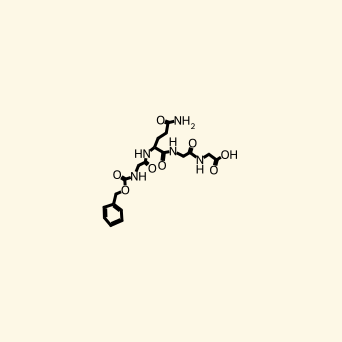 NC(=O)CCC(NC(=O)CNC(=O)OCc1ccccc1)C(=O)NCC(=O)NCC(=O)O